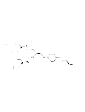 C=C(CO)C(=O)OCC(CCC1CCC(CC/C=C/C)CC1)COC(O)C(=C)COC